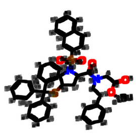 CC(C)(C)OC(=O)CN(CCc1ccccc1)C(=O)C1CC(SC(c2ccccc2)(c2ccccc2)c2ccccc2)CN1S(=O)(=O)c1ccc2ccccc2c1